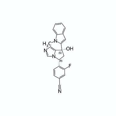 Cn1c([C@@]2(O)C[C@H](c3ccc(C#N)cc3F)n3cncc32)cc2ccccc21